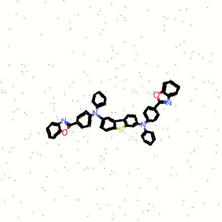 c1ccc(N(c2ccc(-c3nc4ccccc4o3)cc2)c2ccc3c(c2)sc2ccc(N(c4ccccc4)c4ccc(-c5nc6ccccc6o5)cc4)cc23)cc1